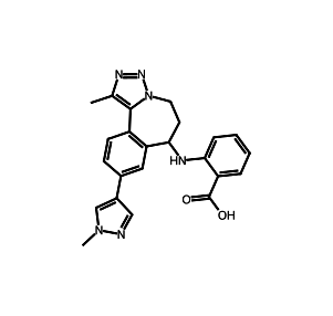 Cc1nnn2c1-c1ccc(-c3cnn(C)c3)cc1C(Nc1ccccc1C(=O)O)CC2